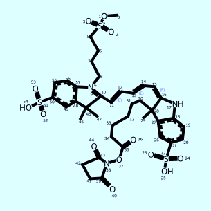 COS(=O)(=O)CCCC[N+]1=C(/C=C/C=C/C=C2/Nc3ccc(S(=O)(=O)O)cc3C2(C)CCCCCC(=O)ON2C(=O)CCC2=O)C(C)(C)c2cc(S(=O)(=O)O)ccc21